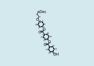 CCCCCCCCCCCCOc1ccc(OC(=O)c2ccc(OC(=O)c3ccc(O)cc3)cc2)cc1